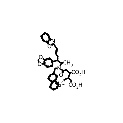 CC(C(CC=Cc1nc2ccccc2o1)c1ccc2c(c1)OCO2)N(Cc1ccc2ccccc2c1)C(=O)CC(C(=O)O)C(CC(=O)O)CC(=O)O